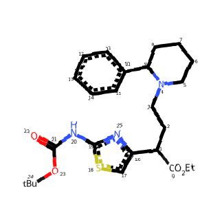 CCOC(=O)C(CCN1CCCCC1c1ccccc1)c1csc(NC(=O)OC(C)(C)C)n1